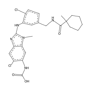 Cn1c(Nc2cc(CNC(=O)C3(C)CCCCC3)ccc2Cl)nc2cc(Cl)c(NC(=O)O)cc21